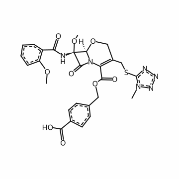 COc1ccccc1C(=O)N[C@]1(OC)C(=O)N2C(C(=O)OCc3ccc(C(=O)O)cc3)=C(CSc3nnnn3C)CO[C@@H]21